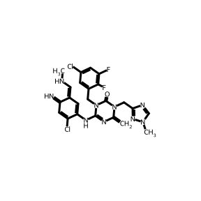 C=C1N=C(NC2=C/C(=C/NC)C(=N)C=C2Cl)N(Cc2cc(Cl)cc(F)c2F)C(=O)N1Cc1ncn(C)n1